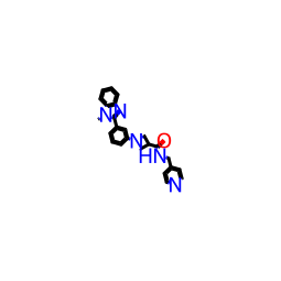 Cn1c(-c2cccc(N3CC(C(=O)NCc4ccncc4)C3)c2)nc2ccccc21